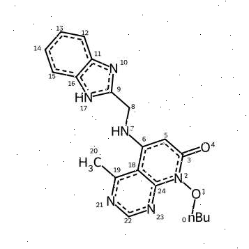 CCCCOn1c(=O)cc(NCc2nc3ccccc3[nH]2)c2c(C)ncnc21